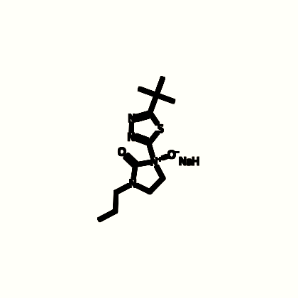 CCCN1CC[N+]([O-])(c2nnc(C(C)(C)C)s2)C1=O.[NaH]